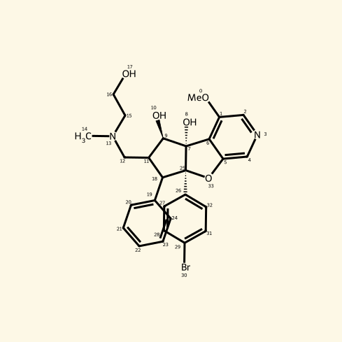 COc1cncc2c1[C@]1(O)[C@H](O)C(CN(C)CCO)C(c3ccccc3)[C@]1(c1ccc(Br)cc1)O2